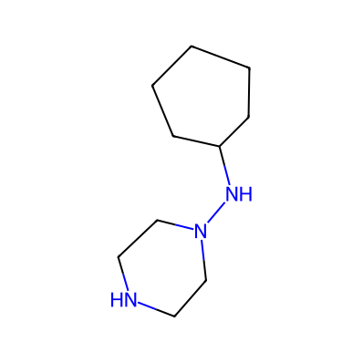 C1CCC(NN2CCNCC2)CC1